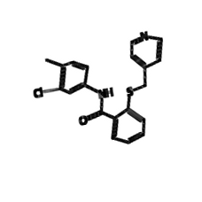 Cc1ccc(NC(=O)c2ccccc2SCc2ccncc2)cc1Cl